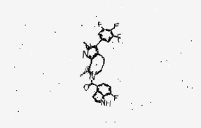 C[C@H]1c2nn(C)c(-c3cc(F)c(F)c(F)c3)c2CCN1C(=O)c1ccc(F)c2[nH]ccc12